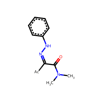 CC(=O)C(=NNc1ccccc1)C(=O)N(C)C